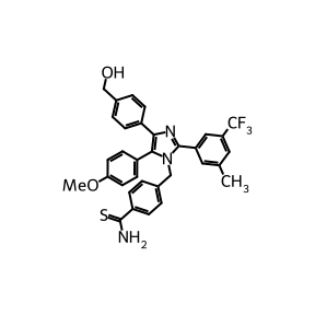 COc1ccc(-c2c(-c3ccc(CO)cc3)nc(-c3cc(C)cc(C(F)(F)F)c3)n2Cc2ccc(C(N)=S)cc2)cc1